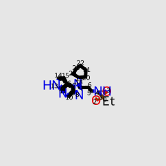 CCS(=O)(=O)NCCc1nc2cnc3[nH]ccc3c2n1C1CCCCC1